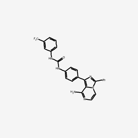 CC(C)c1nc(-c2ccc(NC(=O)Nc3cccc(C(F)(F)F)c3)cc2)c2c(N)nccn12